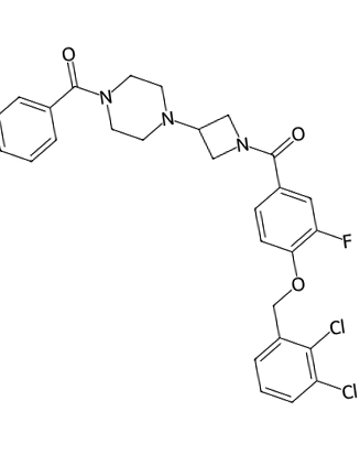 O=C(c1ccccc1)N1CCN(C2CN(C(=O)c3ccc(OCc4cccc(Cl)c4Cl)c(F)c3)C2)CC1